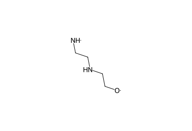 [NH]CCNCC[O]